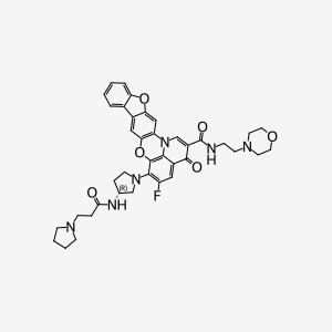 O=C(CCN1CCCC1)N[C@@H]1CCN(c2c(F)cc3c(=O)c(C(=O)NCCN4CCOCC4)cn4c3c2Oc2cc3c(cc2-4)oc2ccccc23)C1